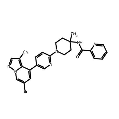 CC1(NC(=O)c2ccccn2)CCN(c2ccc(-c3cc(Br)cn4ncc(C#N)c34)cn2)CC1